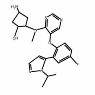 CC(C)n1nccc1-c1cc(F)ccc1Oc1cncnc1N(C)C1CC(N)CC1O